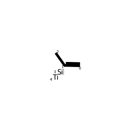 C=CC.[Si].[Ti]